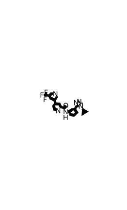 O=C(Nc1cccc(-c2nncn2C2CC2)c1)c1cc(-c2cncc(C(F)(F)F)c2)ccn1